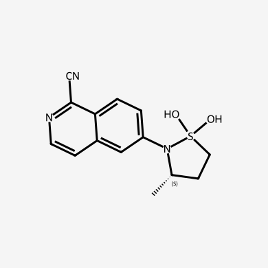 C[C@H]1CCS(O)(O)N1c1ccc2c(C#N)nccc2c1